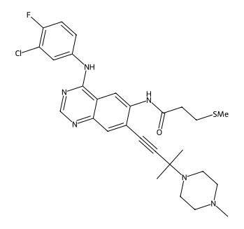 CSCCC(=O)Nc1cc2c(Nc3ccc(F)c(Cl)c3)ncnc2cc1C#CC(C)(C)N1CCN(C)CC1